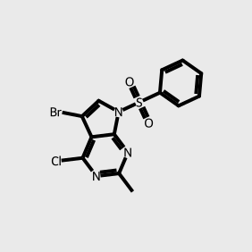 Cc1nc(Cl)c2c(Br)cn(S(=O)(=O)c3ccccc3)c2n1